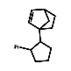 CC(C)C1CCCC1C12C=CC([CH]C1)C2